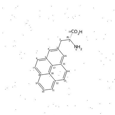 N[C@H](Cc1cc2ccc3cccc4ccc(c1)c2c34)C(=O)O